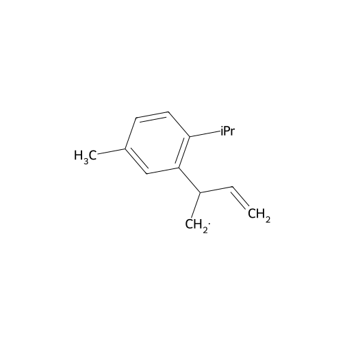 [CH2]C(C=C)c1cc(C)ccc1C(C)C